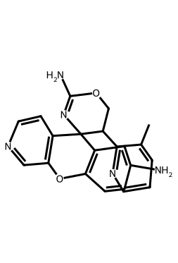 Cc1cccnc1C1COC(N)=NC12c1ccncc1Oc1ccc(N)cc12